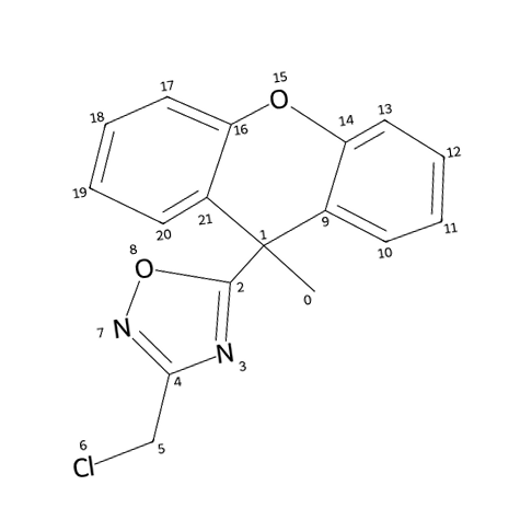 CC1(c2nc(CCl)no2)c2ccccc2Oc2ccccc21